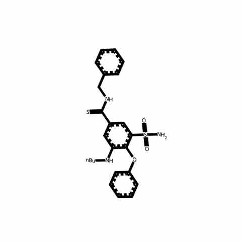 CCCCNc1cc(C(=S)NCc2ccccc2)cc(S(N)(=O)=O)c1Oc1ccccc1